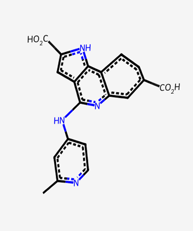 Cc1cc(Nc2nc3cc(C(=O)O)ccc3c3[nH]c(C(=O)O)cc23)ccn1